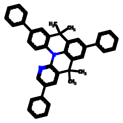 CC1(C)c2cc(-c3ccccc3)ccc2N2c3ncc(-c4ccccc4)cc3C(C)(C)c3cc(-c4ccccc4)cc1c32